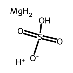 O=S(=O)([O-])O.[H+].[MgH2]